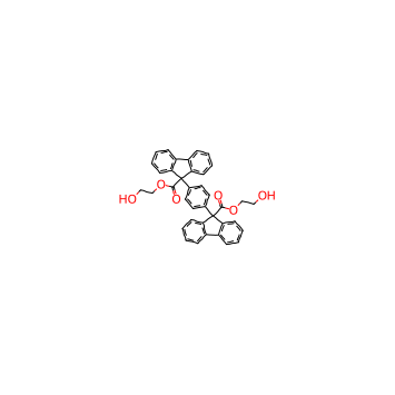 O=C(OCCO)C1(c2ccc(C3(C(=O)OCCO)c4ccccc4-c4ccccc43)cc2)c2ccccc2-c2ccccc21